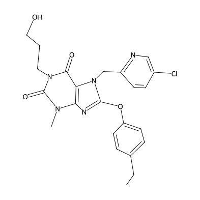 CCc1ccc(Oc2nc3c(c(=O)n(CCCO)c(=O)n3C)n2Cc2ccc(Cl)cn2)cc1